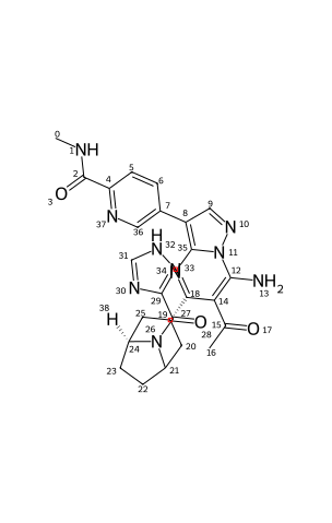 CNC(=O)c1ccc(-c2cnn3c(N)c(C(C)=O)c([C@@H]4CC5CC[C@@H](C4)N5C(=O)c4nc[nH]n4)nc23)cn1